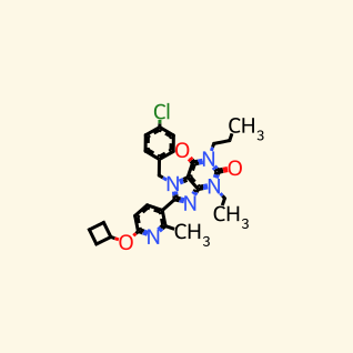 CCCn1c(=O)c2c(nc(-c3ccc(OC4CCC4)nc3C)n2Cc2ccc(Cl)cc2)n(CC)c1=O